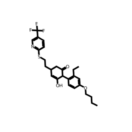 CCCCOc1ccc(C2C(=O)CC(CCSc3ccc(C(F)(F)F)cn3)C=C2O)c(CC)c1